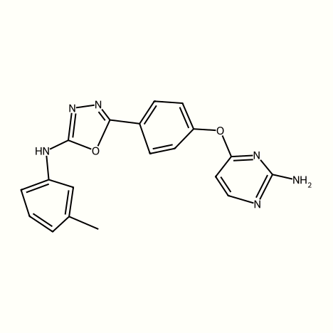 Cc1cccc(Nc2nnc(-c3ccc(Oc4ccnc(N)n4)cc3)o2)c1